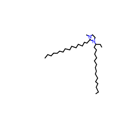 CCCCCCCCCCCCCCCC(CC)N1CCN(C)C1CCCCCCCCCCCCCCC